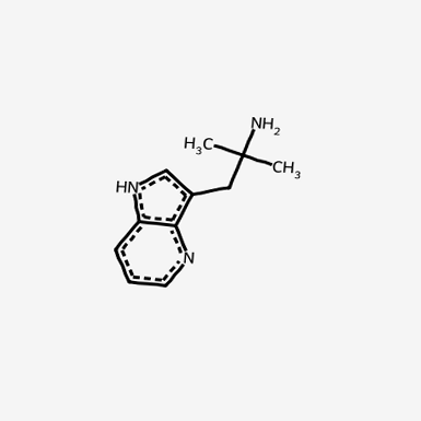 CC(C)(N)Cc1c[nH]c2cccnc12